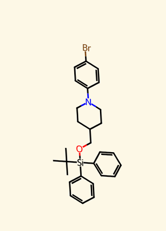 CC(C)(C)[Si](OCC1CCN(c2ccc(Br)cc2)CC1)(c1ccccc1)c1ccccc1